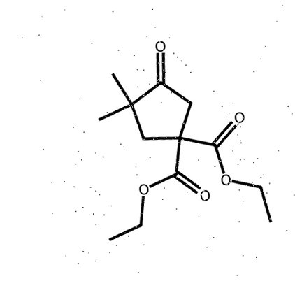 CCOC(=O)C1(C(=O)OCC)CC(=O)C(C)(C)C1